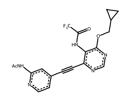 CC(=O)Nc1cc(C#Cc2ncnc(OCC3CC3)c2NC(=O)C(F)(F)F)ccn1